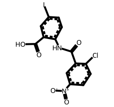 O=C(Nc1ccc(I)cc1C(=O)O)c1cc([N+](=O)[O-])ccc1Cl